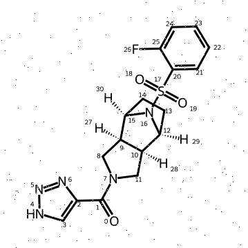 O=C(c1c[nH]nn1)N1C[C@@H]2[C@H](C1)[C@@H]1CC[C@H]2N1S(=O)(=O)c1ccccc1F